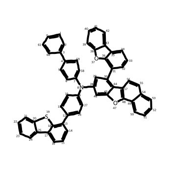 c1ccc(-c2ccc(N(c3ccc(-c4cccc5c4sc4ccccc45)cc3)c3cc(-c4cccc5c4oc4ccccc45)c4c(c3)oc3c5ccccc5ccc34)cc2)cc1